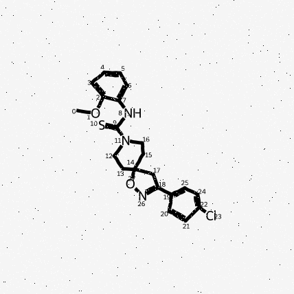 COc1ccccc1NC(=S)N1CCC2(CC1)CC(c1ccc(Cl)cc1)=NO2